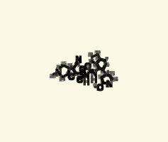 COc1cc(-c2ccc3c(c2NC(=O)NS(=O)(=O)c2oc4c(c2C#N)CCN(C)C4)CCC3)ccn1